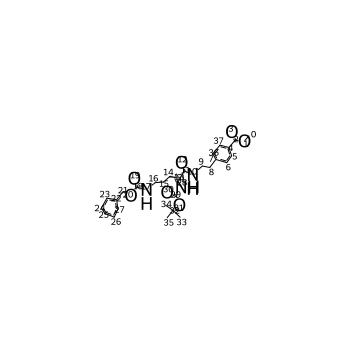 COC(=O)c1ccc(CCNC(=O)[C@H](CCCNC(=O)OCc2ccccc2)NC(=O)OC(C)(C)C)cc1